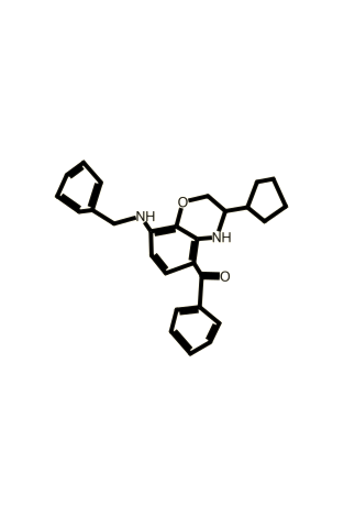 O=C(c1ccccc1)c1ccc(NCc2ccccc2)c2c1NC(C1CCCC1)CO2